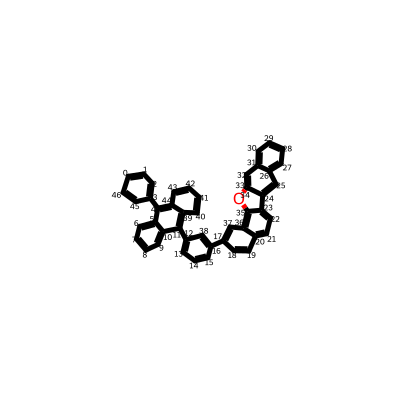 c1ccc(-c2c3ccccc3c(-c3cccc(-c4ccc5ccc6c7cc8ccccc8cc7oc6c5c4)c3)c3ccccc23)cc1